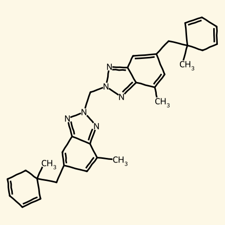 Cc1cc(CC2(C)C=CC=CC2)cc2nn(Cn3nc4cc(CC5(C)C=CC=CC5)cc(C)c4n3)nc12